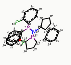 Fc1ccccc1P(c1ccccc1F)N(C1CCCC1)P1[C@H](c2ccccc2)CC[C@H]1c1ccccc1